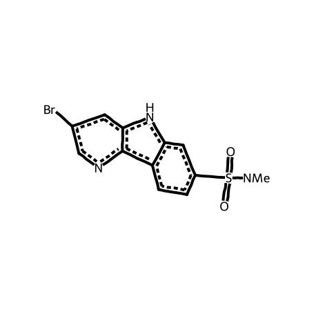 CNS(=O)(=O)c1ccc2c(c1)[nH]c1cc(Br)cnc12